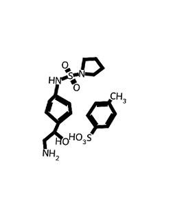 Cc1ccc(S(=O)(=O)O)cc1.NCC(O)c1ccc(NS(=O)(=O)N2CCCC2)cc1